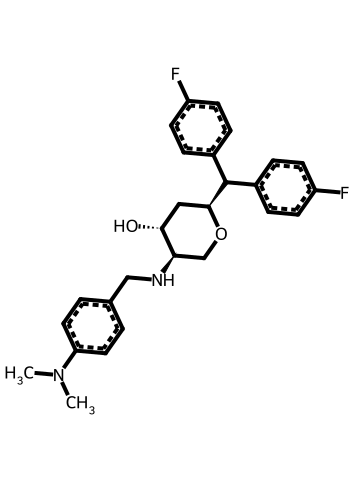 CN(C)c1ccc(CN[C@@H]2CO[C@H](C(c3ccc(F)cc3)c3ccc(F)cc3)C[C@H]2O)cc1